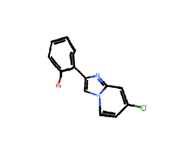 Clc1ccn2cc(-c3ccccc3Br)nc2c1